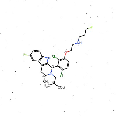 C[C@@H]1Cc2c([nH]c3ccc(F)cc23)[C@@H](c2c(Cl)ccc(OCCNCCCF)c2Cl)N1C[C@H](C)C(=O)O